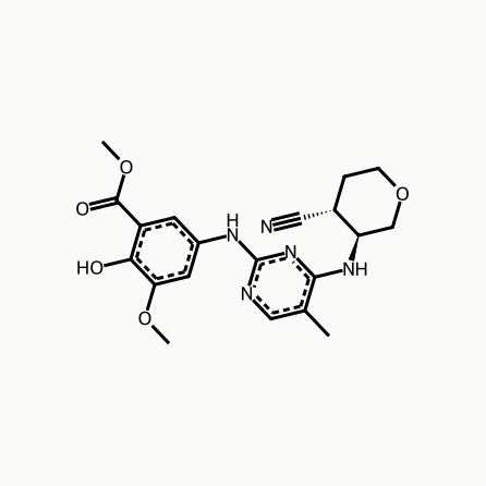 COC(=O)c1cc(Nc2ncc(C)c(N[C@@H]3COCC[C@H]3C#N)n2)cc(OC)c1O